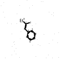 CCC(C)=Cc1c[c]ccc1